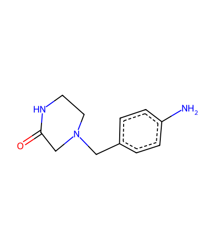 Nc1ccc(CN2CCNC(=O)C2)cc1